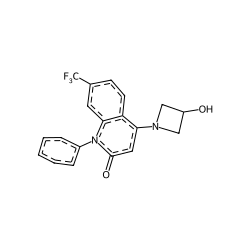 O=c1cc(N2CC(O)C2)c2ccc(C(F)(F)F)cc2n1-c1ccccc1